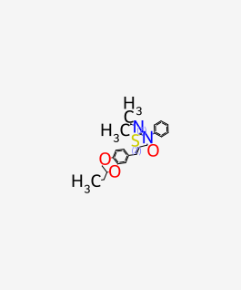 CCC1COc2ccc(/C=C3\S/C(=N\C(C)C)N(c4ccccc4)C3=O)cc2O1